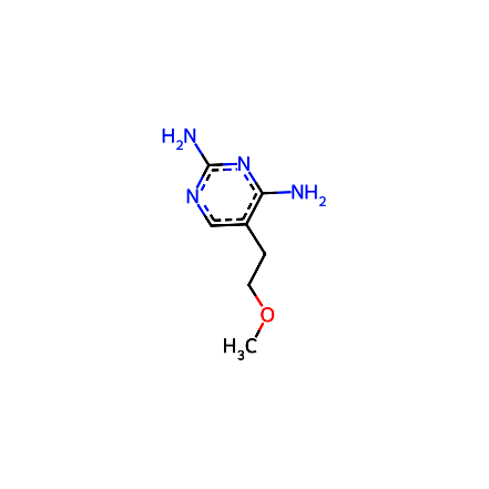 COCCc1cnc(N)nc1N